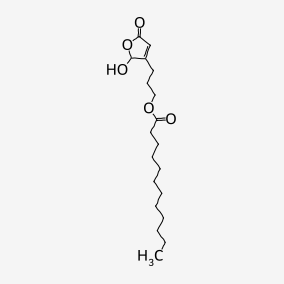 CCCCCCCCCCCC(=O)OCCCC1=CC(=O)OC1O